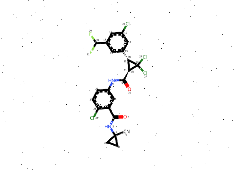 N#CC1(NC(=O)c2cc(NC(=O)[C@H]3[C@H](c4cc(Cl)cc(C(F)F)c4)C3(Cl)Cl)ccc2Cl)CC1